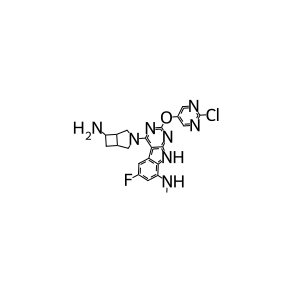 CNc1cc(F)cc2c1[nH]c1nc(Oc3cnc(Cl)nc3)nc(N3CC4CC(N)C4C3)c12